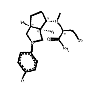 CC(C)C[C@@H](C(N)=O)N(C)[C@H]1CC[C@@H]2CN(c3ccc(Cl)cc3)C[C@@H]21